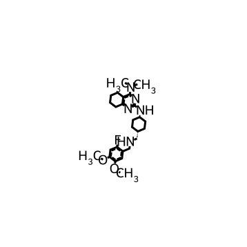 COc1cc(F)c(CNC[C@H]2CC[C@@H](Nc3nc4c(c(N(C)C)n3)CCCC4)CC2)cc1OC